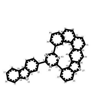 c1ccc(-c2nc(-c3ccc4c(c3)oc3ccccc34)nc(-c3cccc4sc5cc6ccc7ccccc7c6cc5c34)n2)cc1